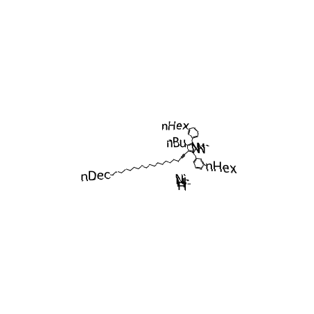 CCCCCCCCCCCCCCCCCCCCCCCCCCCC#CC1=C(c2cccc(CCCCCC)c2)[N+](=[N-])C(c2cccc(CCCCCC)c2)=C1CCCC.[H-].[H-].[Ni]